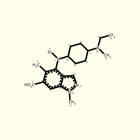 CCN(c1c(C)c(C(=O)O)cc2c1cnn2C)C1CCC(N(C)CC(F)(F)F)CC1